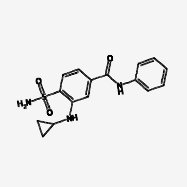 NS(=O)(=O)c1ccc(C(=O)Nc2ccccc2)cc1NC1CC1